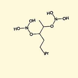 CC(C)CCC(ON(O)O)C(C)ON(O)O